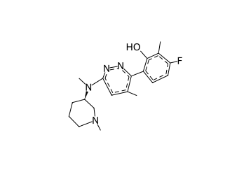 Cc1cc(N(C)[C@@H]2CCCN(C)C2)nnc1-c1ccc(F)c(C)c1O